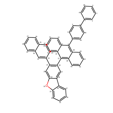 c1ccc(-c2ccc(-c3c4ccccc4c(-c4cc5c(cc4-c4ccc6ccccc6c4)oc4ccccc45)c4ccccc34)cc2)cc1